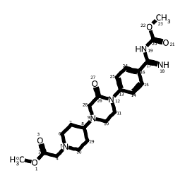 COC(=O)CN1CCC(N2CCN(c3ccc(C(=N)NC(=O)OC)cc3)C(=O)C2)CC1